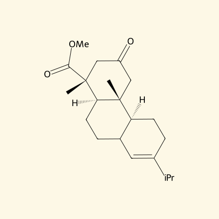 COC(=O)[C@]1(C)CC(=O)C[C@@]2(C)[C@H]1CCC1C=C(C(C)C)CC[C@@H]12